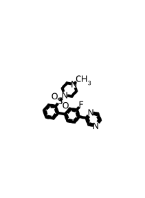 CN1CCN(S(=O)(=O)c2ccccc2-c2ccc(-c3cnccn3)c(F)c2)CC1